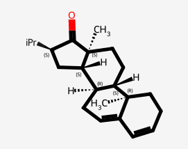 CC(C)[C@@H]1C[C@H]2[C@@H]3CC=C4C=CCC[C@]4(C)[C@H]3CC[C@]2(C)C1=O